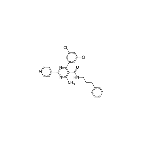 Cc1nc(-c2ccncc2)nc(-c2cc(Cl)cc(Cl)c2)c1C(=O)NCCCc1ccccc1